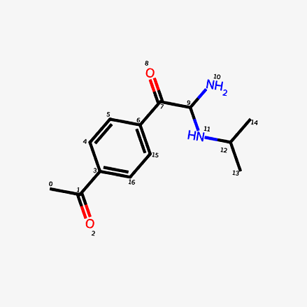 CC(=O)c1ccc(C(=O)C(N)NC(C)C)cc1